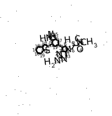 CN(C)C(=O)CCn1cc(-c2cc(-c3cc4ccccc4s3)c3[nH]ncc3c2)c2nc(N)ncc21